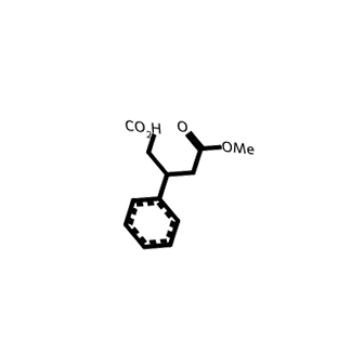 COC(=O)CC(CC(=O)O)c1ccccc1